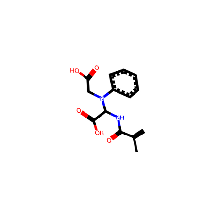 C=C(C)C(=O)NC(C(=O)O)N(CC(=O)O)c1ccccc1